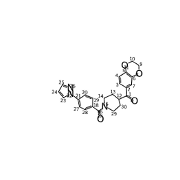 O=C(c1ccc2c(c1)OCCO2)C1CCN(C(=O)c2ccc(-n3cccn3)cc2)CC1